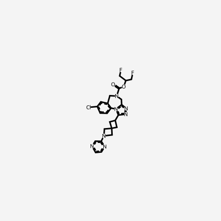 O=C(OC(CF)CF)N1Cc2cc(Cl)ccc2-n2c(nnc2C2CC3(C2)CN(c2cnccn2)C3)C1